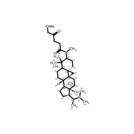 COCC(=O)CCC(=O)N(C)C1CC[C@]23C[C@]24CC[C@]2(C)[C@@H]([C@H](C)N(C)C)CC[C@@]2(C)[C@@H]4CC[C@H]3C1(C)C